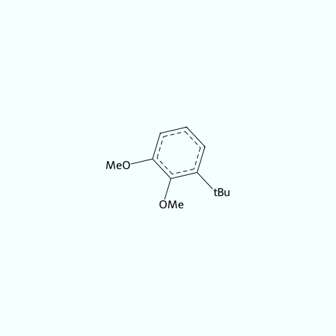 COc1cccc(C(C)(C)C)c1OC